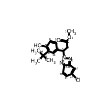 COC(=O)CC(c1ccc(O)c(C(C)(C)C)c1)n1nc2ccc(Cl)cc2n1